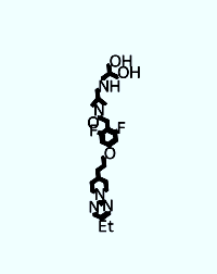 CCc1cnc(N2CCC(CCCOc3cc(F)c(CC(=O)N4CC(CNCC(CO)CO)C4)c(F)c3)CC2)nc1